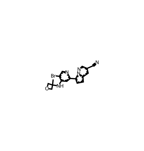 CC1(Nc2cc(-c3ccc4cc(C#N)cnn34)ncc2Br)COC1